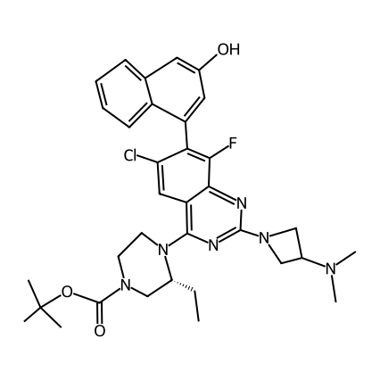 CC[C@@H]1CN(C(=O)OC(C)(C)C)CCN1c1nc(N2CC(N(C)C)C2)nc2c(F)c(-c3cc(O)cc4ccccc34)c(Cl)cc12